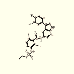 CCCS(=O)(=O)Nc1ccc(F)c(C(=O)Nc2cnc3[nH]cc(-c4ccc(F)c(F)c4)c3c2)c1F